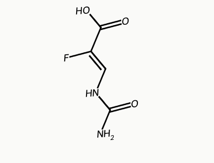 NC(=O)NC=C(F)C(=O)O